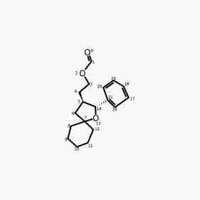 O=COCC[C@@H]1CC2(CCCCC2)O[C@H]1c1ccccc1